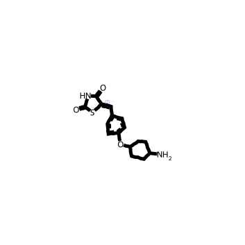 NC1CCC(Oc2ccc(/C=C3\SC(=O)NC3=O)cc2)CC1